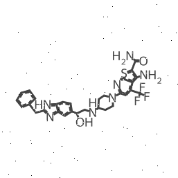 NC(=O)c1sc2nc(N3CCC(NCC(O)c4ccc5[nH]c(Cc6ccccc6)nc5c4)CC3)cc(C(F)(F)F)c2c1N